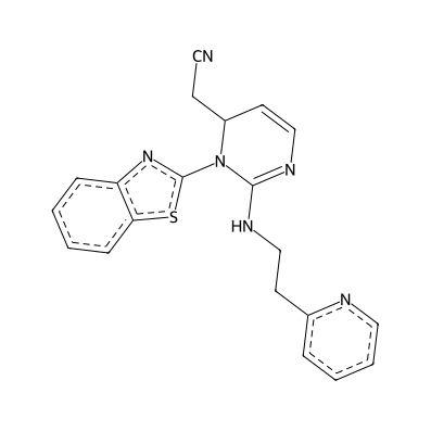 N#CCC1C=CN=C(NCCc2ccccn2)N1c1nc2ccccc2s1